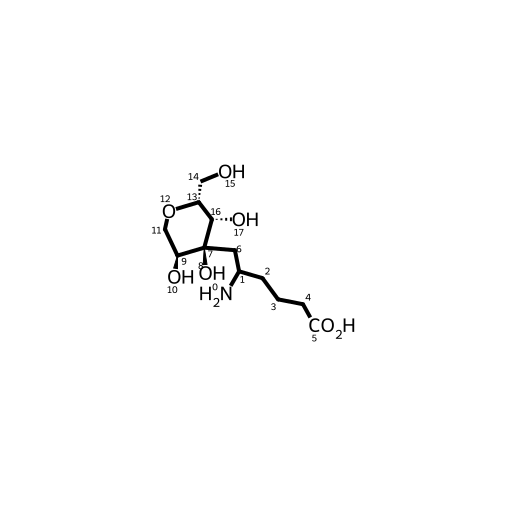 NC(CCCC(=O)O)C[C@]1(O)[C@@H](O)CO[C@H](CO)[C@@H]1O